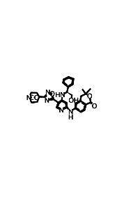 CC1(C)Cc2cc(Nc3cc(N[C@H](CO)c4ccccc4)c(-c4nc(C56CCN(CC5)CC6)no4)cn3)ccc2C(=O)O1